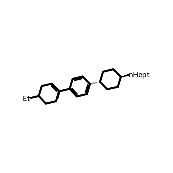 CCCCCCC[C@H]1CC[C@H](c2ccc(C3=CCC(CC)CC3)cc2)CC1